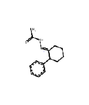 NC(=S)N/N=C1\CCCCC1c1ccccc1